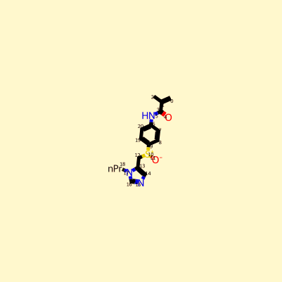 C=C(C)C(=O)Nc1ccc([S+]([O-])Cc2cncn2CCC)cc1